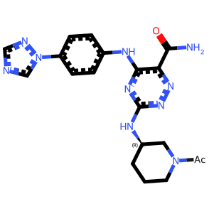 CC(=O)N1CCC[C@@H](Nc2nnc(C(N)=O)c(Nc3ccc(-n4cncn4)cc3)n2)C1